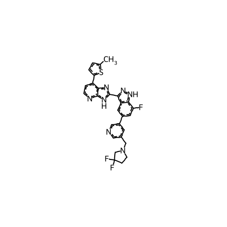 Cc1ccc(-c2ccnc3[nH]c(-c4n[nH]c5c(F)cc(-c6cncc(CN7CCC(F)(F)C7)c6)cc45)nc23)s1